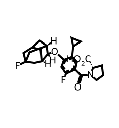 O=C(O)[C@@H]1CCCN1C(=O)c1cc(C2CC2)c(O[C@@H]2[C@@H]3CC4C[C@H]2CC(F)(C4)C3)cc1F